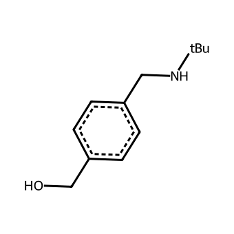 CC(C)(C)NCc1ccc(CO)cc1